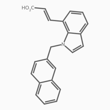 O=C(O)/C=C/c1cccc2ccn(Cc3ccc4ccccc4c3)c12